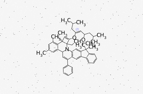 CCC12C=C(O/C(=C\C(CC(C)C)OC)CC(C)C)C1(CC)N1c3cc4c(cc3C(c3ccccc3)=CC1c1cc(C)cc(C)c12)-c1ccccc1C4(C)C